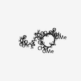 COc1cc2cc(c1Cl)N(C)C(=O)CC(OC(=O)C(C)N(C)C(=O)CCSSC(C)CCC(=O)ON1C(=O)CCC1=O)C1(C)CC(C)(O1)C1CC(O)(NC(=O)O1)C(OC)/C=C/C=C(\C)C2